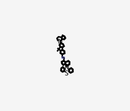 CC1(C)c2cc(/C=C/c3cccc4c(N5c6ccccc6Sc6ccccc65)cccc34)ccc2-c2ccc(N3CCCc4ccccc43)cc21